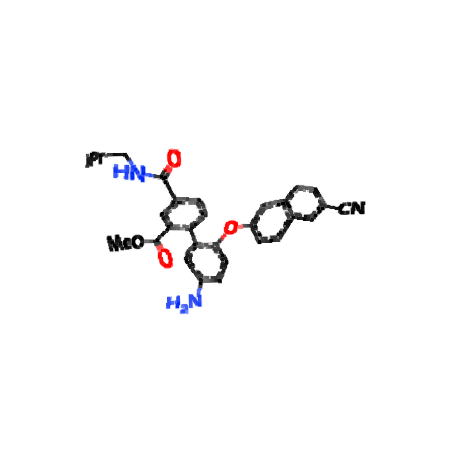 COC(=O)c1cc(C(=O)NCC(C)C)ccc1-c1cc(N)ccc1Oc1ccc2cc(C#N)ccc2c1